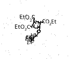 CCOC(=O)CCN1CCCN(Cc2ccc(CNCCC[Si](OCC)(OCC)OCC)cc2)CCN(CCC(=O)OCC)CCN(CCC(=O)OCC)CC1